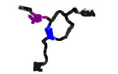 C=CPC1CC(CC#N)CCN1CCC#N